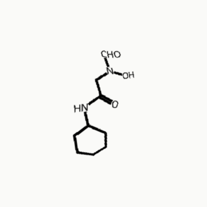 O=CN(O)CC(=O)NC1CCCCC1